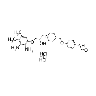 Cc1cc(OCC(O)CN2CCC(COc3ccc(NC=O)cc3)CC2)c(N)c(N)c1C.Cl.Cl.Cl